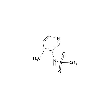 Cc1ccncc1NS(C)(=O)=O